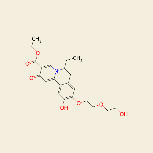 CCOC(=O)c1cn2c(cc1=O)-c1cc(O)c(OCCOCCO)cc1CC2CC